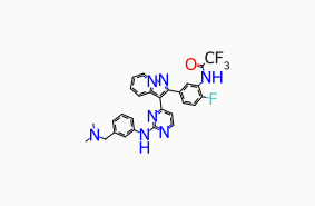 CN(C)Cc1cccc(Nc2nccc(-c3c(-c4ccc(F)c(NC(=O)C(F)(F)F)c4)nn4ccccc34)n2)c1